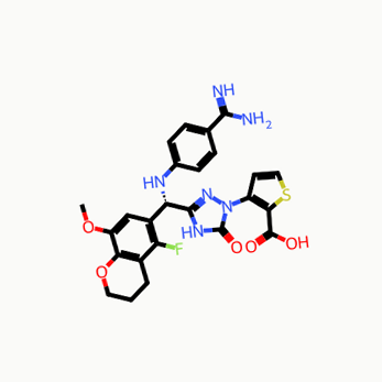 COc1cc([C@H](Nc2ccc(C(=N)N)cc2)c2nn(-c3ccsc3C(=O)O)c(=O)[nH]2)c(F)c2c1OCCC2